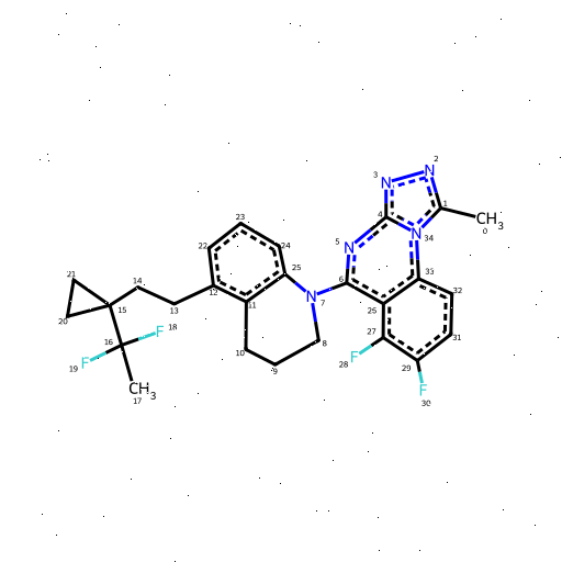 Cc1nnc2nc(N3CCCc4c(CCC5(C(C)(F)F)CC5)cccc43)c3c(F)c(F)ccc3n12